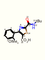 COc1ccccc1-c1nc(C(=O)NC(C)(C)C)sc1C(=O)O